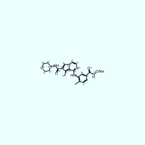 CONC(=O)c1ccc(C)c(Nc2nccn3cc(C(=O)NN4CCOCC4)c(C)c23)c1